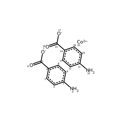 Nc1ccc(C(=O)[O-])cc1.Nc1ccc(C(=O)[O-])cc1.[Co+2]